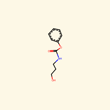 O=C(NCCCO)Oc1ccccc1